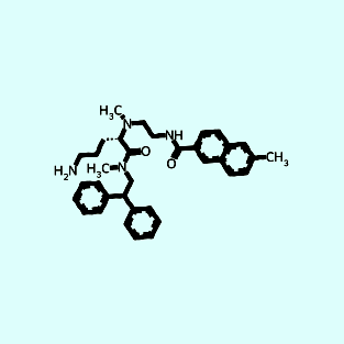 Cc1ccc2cc(C(=O)NCCN(C)[C@@H](CCCN)C(=O)N(C)CC(c3ccccc3)c3ccccc3)ccc2c1